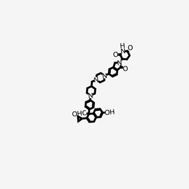 O=CC1(c2ccc(N3CCC(CN4CCN(c5ccc6c(c5)CN(C5CCC(=O)NC5=O)C6=O)CC4)CC3)cc2)C(C2CC2)=CCc2cc(O)ccc21